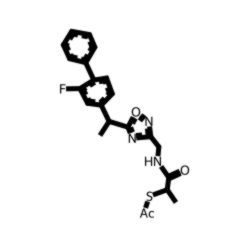 CC(=O)SC(C)C(=O)NCc1noc(C(C)c2ccc(-c3ccccc3)c(F)c2)n1